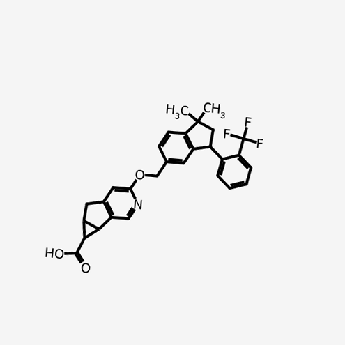 CC1(C)CC(c2ccccc2C(F)(F)F)c2cc(COc3cc4c(cn3)C3C(C4)C3C(=O)O)ccc21